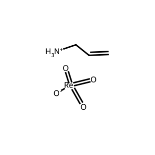 C=CC[NH3+].[O]=[Re](=[O])(=[O])[O-]